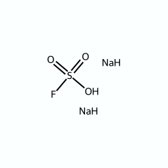 O=S(=O)(O)F.[NaH].[NaH]